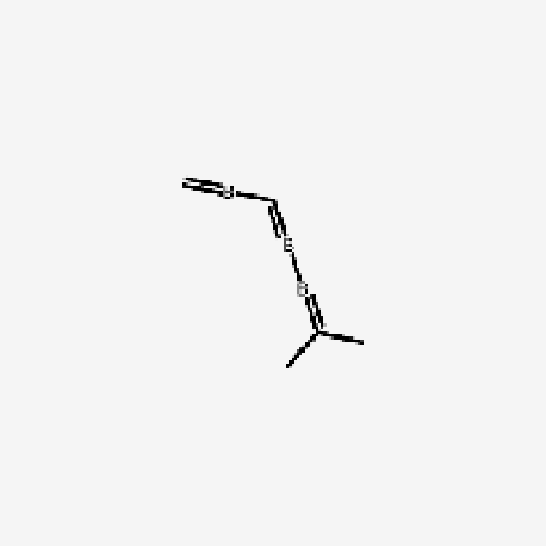 C=B/C=B\B=C(C)C